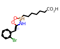 O=C(O)CCCCCC[SH]1N/C(=C/c2ccccc2Br)OO1